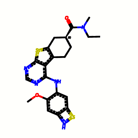 CCN(C)C(=O)[C@H]1CCc2c(sc3ncnc(Nc4cc5s[nH]c5cc4OC)c23)C1